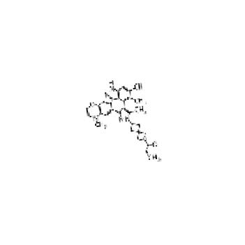 C=CC(=O)N1CC2(CC(n3nc(-c4ccc5c(c4)N(C)CCO5)c(-c4c(C)c(C)cc5[nH]ncc45)c3C)C2)C1